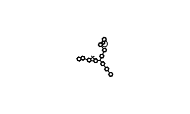 CC1(C)c2cc(-c3ccc4ccccc4c3)ccc2-c2ccc(C(c3ccc(-c4ccc(-c5ccccc5)cc4)cc3)c3ccc(-c4cccc(-c5cccc6c5oc5ccccc56)c4)cc3)cc21